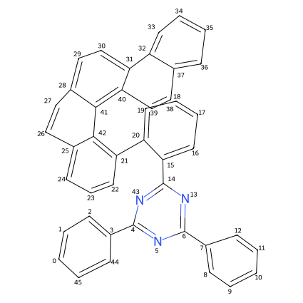 c1ccc(-c2nc(-c3ccccc3)nc(-c3ccccc3-c3cccc4ccc5ccc6c7ccccc7ccc6c5c34)n2)cc1